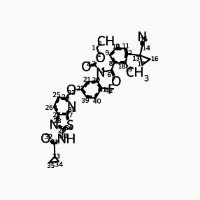 CCOC(=O)N(C(=O)c1cccc(C2(C#N)CC2)c1C)c1cc(Oc2ccc3nc(NC(=O)C4CC4)sc3n2)ccc1F